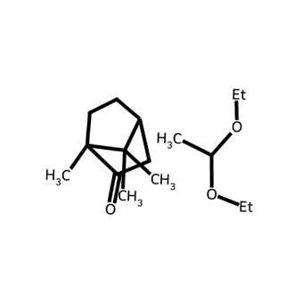 CC12CCC(CC1=O)C2(C)C.CCOC(C)OCC